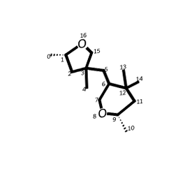 C[C@H]1CC(C)(CC2CO[C@@H](C)CC2(C)C)CO1